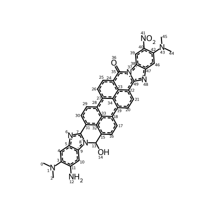 CN(C)c1cc2nc3n(c2cc1N)C(O)c1ccc2c4ccc5c6c(ccc(c7ccc-3c1c72)c46)c(=O)n1c2cc([N+](=O)[O-])c(N(C)C)cc2nc51